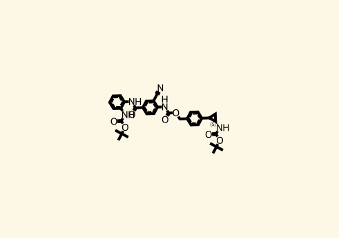 CC(C)(C)OC(=O)Nc1ccccc1NC(=O)c1ccc(NC(=O)OCc2ccc(C3C[C@@H]3NC(=O)OC(C)(C)C)cc2)c(C#N)c1